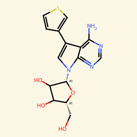 Nc1ncnc2c1c(-c1ccsc1)cn2[C@@H]1O[C@H](CO)C(O)C1O